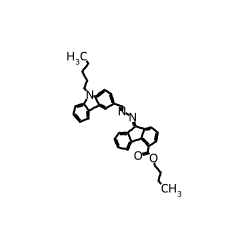 CCCCCn1c2ccccc2c2cc(C=NN=C3c4ccccc4-c4c(C(=O)OCCCC)cccc43)ccc21